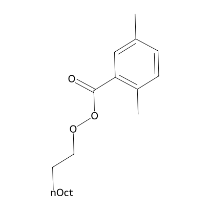 [CH2]CCCCCCCCCOOC(=O)c1cc(C)ccc1C